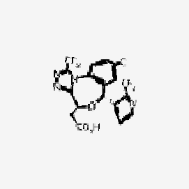 O=C(O)C[C@@H]1O[C@@H](c2cccnc2C(F)(F)F)c2cc(Cl)ccc2-n2c1nnc2C(F)(F)F